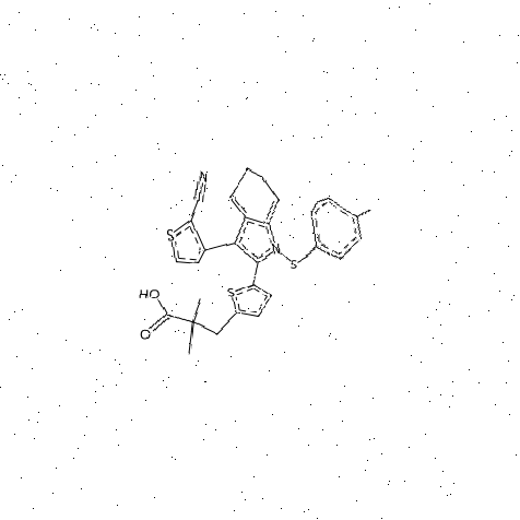 Cc1ccc(Sn2c(-c3ccc(CC(C)(C)C(=O)O)s3)c(-c3ccsc3C#N)c3c2=CCCC=3)cc1